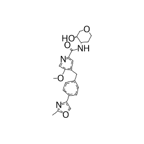 COc1cnc(C(=O)N[C@H]2CCOC[C@@H]2O)cc1Cc1ccc(-c2coc(C)n2)cc1